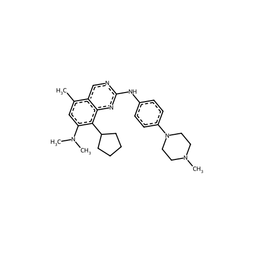 Cc1cc(N(C)C)c(C2CCCC2)c2nc(Nc3ccc(N4CCN(C)CC4)cc3)ncc12